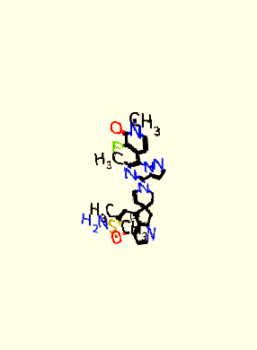 Cc1nc(N2CCC3(CC2)Cc2ncccc2[C@H]3CC(C)(C)[S+](N)[O-])c2ccnn2c1-c1ccn(C)c(=O)c1F